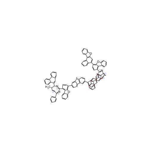 CC1/C=C/C(c2ccccc2)=N\C(c2ccc(-c3ccc4c(c3)sc3ccc(-c5cccc(-c6ccc(C7=C\C=C\C(c8ccc9ccccc9c8)=N/C(c8ccc(-c9cc%10oc%11ccccc%11c%10c%10ccccc9%10)c9oc%10ccccc%10c89)=N\7)cc6)c5)cc34)c3oc4ccccc4c23)=N/C1c1cc2ccccc2c2ccccc12